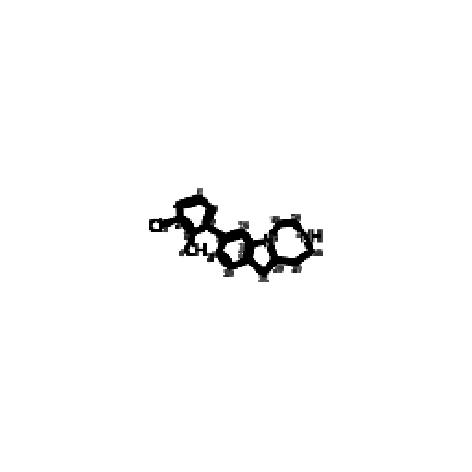 Cc1c(Cl)cccc1-c1ccc2c(c1)N1CCNCCC1C2